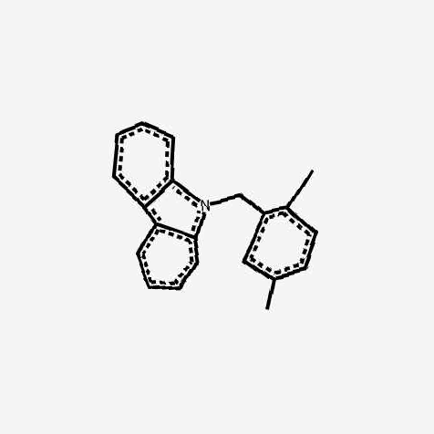 Cc1ccc(C)c(Cn2c3ccccc3c3ccccc32)c1